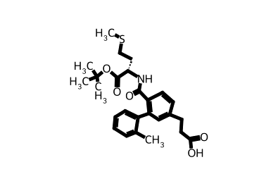 CSCC[C@H](NC(=O)c1ccc(CCC(=O)O)cc1-c1ccccc1C)C(=O)OC(C)(C)C